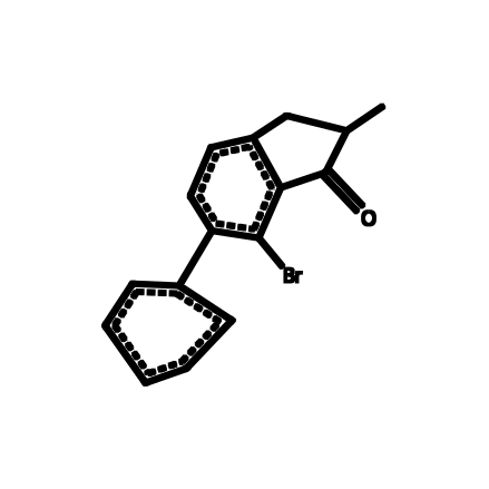 CC1Cc2ccc(-c3ccccc3)c(Br)c2C1=O